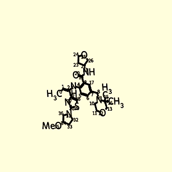 CC=C(Nc1ccc(CN2CCOCC2(C)C)cc1C(=O)N[C@@H]1CCOC1)c1csc(N2CC[C@H](OC)C2)n1